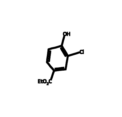 CCOC(=O)c1ccc(O)c(Cl)c1